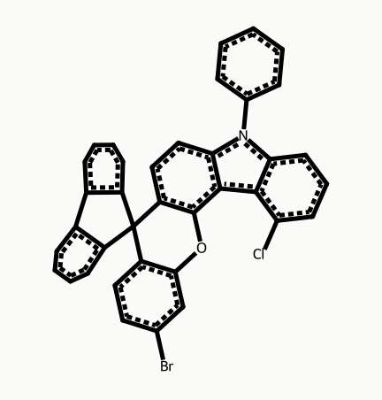 Clc1cccc2c1c1c3c(ccc1n2-c1ccccc1)C1(c2ccc(Br)cc2O3)c2ccccc2-c2ccccc21